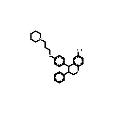 Oc1ccc2c(c1)C(c1ccc(OCCCN3CCCCC3)cc1)C(c1ccccc1)CO2